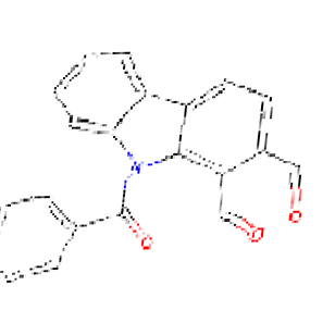 O=Cc1ccc2c3ccccc3n(C(=O)c3ccccc3)c2c1C=O